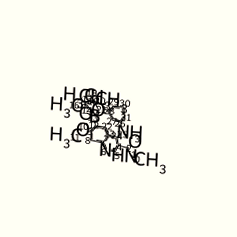 CNC(=O)c1cnc2cc(OC)c(B3OC(C)(C)C(C)(C)O3)cc2c1Nc1ccccc1